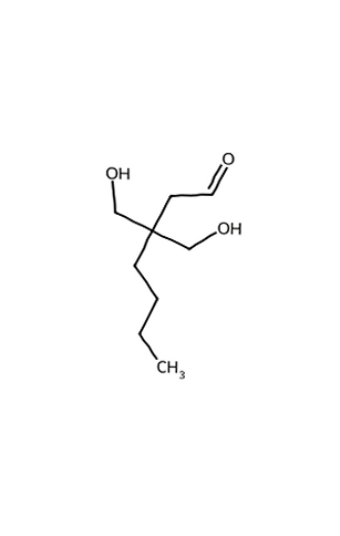 CCCCC(CO)(CO)CC=O